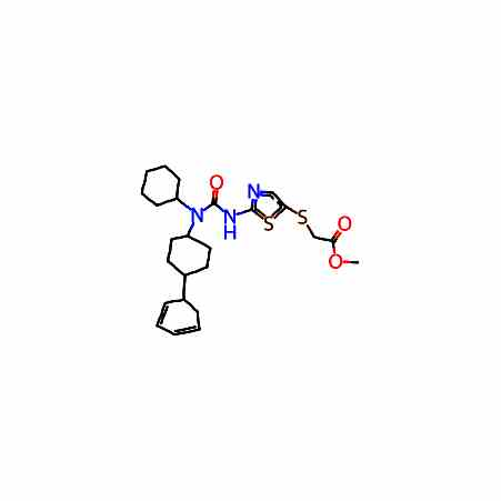 COC(=O)CSc1cnc(NC(=O)N(C2CCCCC2)C2CCC(C3C=CC=CC3)CC2)s1